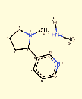 CN1CCCC1c1cccnc1.[2H]NN=O